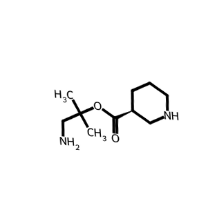 CC(C)(CN)OC(=O)[C@H]1CCCNC1